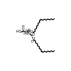 CCCCCCC/C=C\CCCCCCCC(=O)OC[C@H](COP(=O)(O)OC[C@@H](O)CO)OC(=O)CCCCCCC/C=C\CCCCCCCC